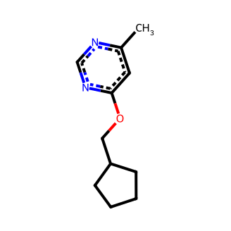 Cc1cc(OCC2CCCC2)ncn1